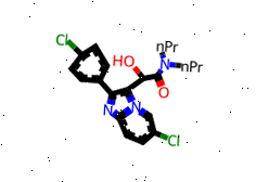 CCCN(CCC)C(=O)C(O)c1c(-c2ccc(Cl)cc2)nc2ccc(Cl)cn12